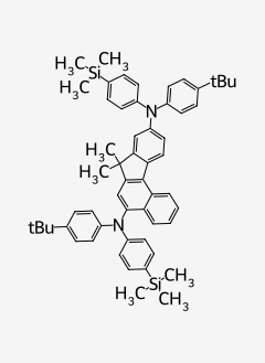 CC(C)(C)c1ccc(N(c2ccc([Si](C)(C)C)cc2)c2ccc3c(c2)C(C)(C)c2cc(N(c4ccc(C(C)(C)C)cc4)c4ccc([Si](C)(C)C)cc4)c4ccccc4c2-3)cc1